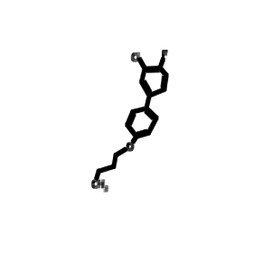 CCCCOc1ccc(-c2ccc(F)c(Cl)c2)cc1